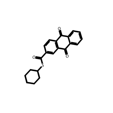 O=C(SC1CCCCC1)c1ccc2c(c1)C(=O)c1ccccc1C2=O